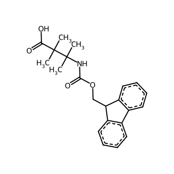 CC(C)(NC(=O)OCC1c2ccccc2-c2ccccc21)C(C)(C)C(=O)O